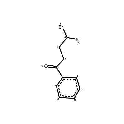 O=C(CCC(Br)Br)c1ccccc1